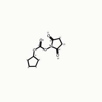 O=C(OC1CCCC1)ON1C(=O)CCC1=O